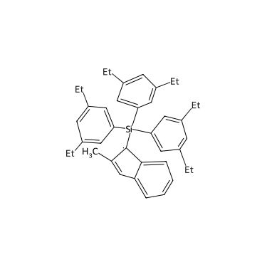 CCc1cc(CC)cc([Si]([C]2C(C)=Cc3ccccc32)(c2cc(CC)cc(CC)c2)c2cc(CC)cc(CC)c2)c1